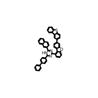 c1ccc(-c2ccc(C3N=C(c4cccc5oc6cc(-c7ccc8sc9ccccc9c8c7)ccc6c45)N=C(c4ccc5ccccc5c4)N3)cc2)cc1